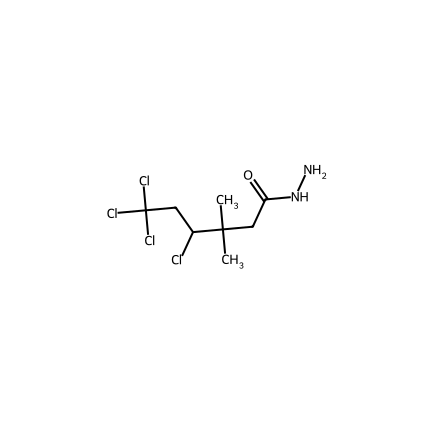 CC(C)(CC(=O)NN)C(Cl)CC(Cl)(Cl)Cl